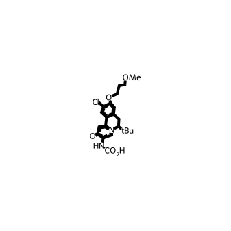 COCCCOc1cc2c(cc1Cl)-c1cc(=O)c(NC(=O)O)cn1C(C(C)(C)C)C2